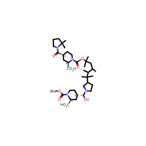 CC(CC(C)(C)OC(=O)N1CC[C@H](C(=O)N2CCCC2(C)C)C[C@@H]1C(=O)O)C(C)C(C)(C)C1CCN(C(O)[C@H]2CCN(C(=O)OC(C)(C)C)[C@H](C(=O)O)C2)C1